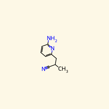 CC(C#N)Cc1cccc(N)n1